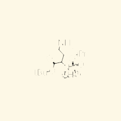 CC(C)OP(=O)(OC(C)C)N(C=O)C(CCN)C(=O)OC(C)(C)C